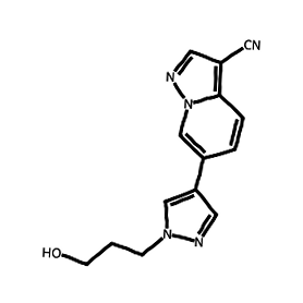 N#Cc1cnn2cc(-c3cnn(CCCO)c3)ccc12